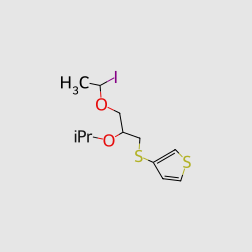 CC(C)OC(COC(C)I)CSc1ccsc1